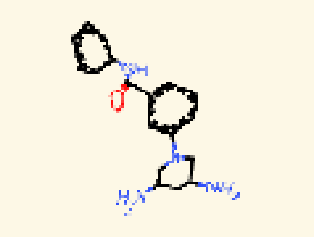 NC1CC(N)CN(c2cccc(C(=O)Nc3ccccc3)c2)C1